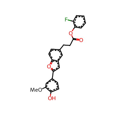 COc1cc(-c2cc3cc(CCC(=O)Oc4ccccc4F)ccc3o2)ccc1O